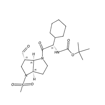 CC(C)(C)OC(=O)N[C@H](C(=O)N1CC[C@@H]2[C@H]1[C@@H](C=O)CN2S(C)(=O)=O)C1CCCCC1